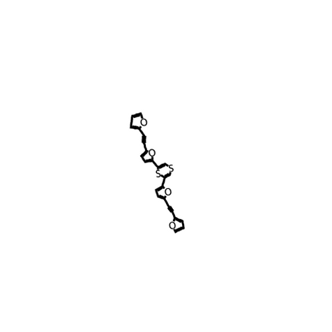 C(#Cc1ccc(C2=CSC=C(c3ccc(C#Cc4ccco4)o3)S2)o1)c1ccco1